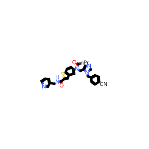 CCCC(=O)N(Cc1cncn1Cc1ccc(C#N)cc1)c1ccc2sc(C(=O)NCc3cccnc3)cc2c1